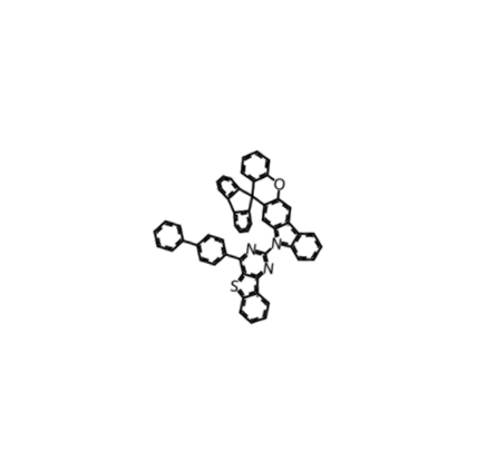 c1ccc(-c2ccc(-c3nc(-n4c5ccccc5c5cc6c(cc54)C4(c5ccccc5O6)c5ccccc5-c5ccccc54)nc4c3sc3ccccc34)cc2)cc1